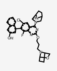 Oc1cc(-c2c(Cl)cc3c(N4CC5CCC(C4)N5)nc(OCCCN4C5CCC56OCC46)nc3c2F)c2ccccc2c1